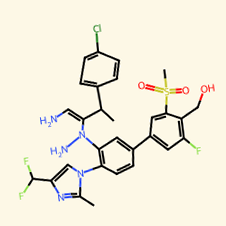 Cc1nc(C(F)F)cn1-c1ccc(-c2cc(F)c(CO)c(S(C)(=O)=O)c2)cc1N(N)/C(=C\N)C(C)c1ccc(Cl)cc1